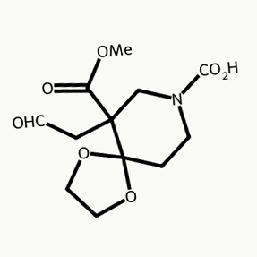 COC(=O)C1(CC=O)CN(C(=O)O)CCC12OCCO2